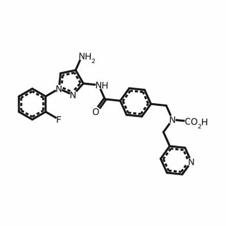 Nc1cn(-c2ccccc2F)nc1NC(=O)c1ccc(CN(Cc2cccnc2)C(=O)O)cc1